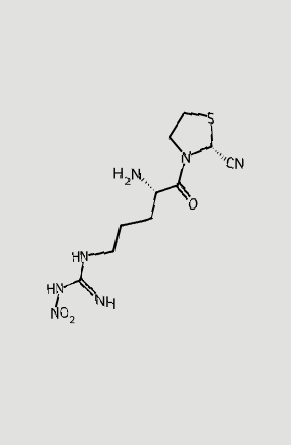 N#C[C@H]1SCCN1C(=O)[C@@H](N)CCCNC(=N)N[N+](=O)[O-]